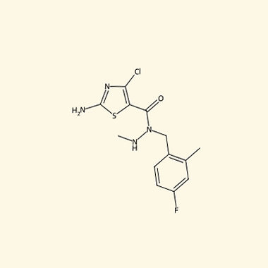 CNN(Cc1ccc(F)cc1C)C(=O)c1sc(N)nc1Cl